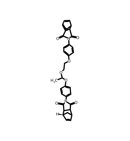 CC(OCCOc1ccc(N2C(=O)C3=C4C=CC(C4)C3C2=O)cc1)Oc1ccc(N2C(=O)C3C4C=C[C@@H](C4)C3C2=O)cc1